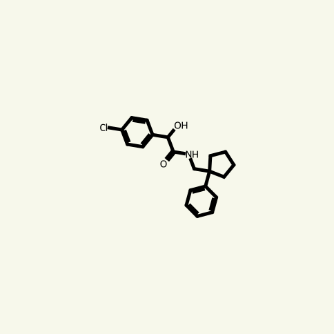 O=C(NCC1(c2ccccc2)CCCC1)C(O)c1ccc(Cl)cc1